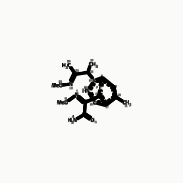 CON=C(C(N)=O)c1cc2cc(C)c1o[nH]n2C(C)C(C)=NOC